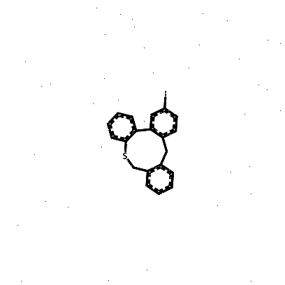 Ic1ccc2c(c1)-c1ccccc1SCc1ccccc1C2